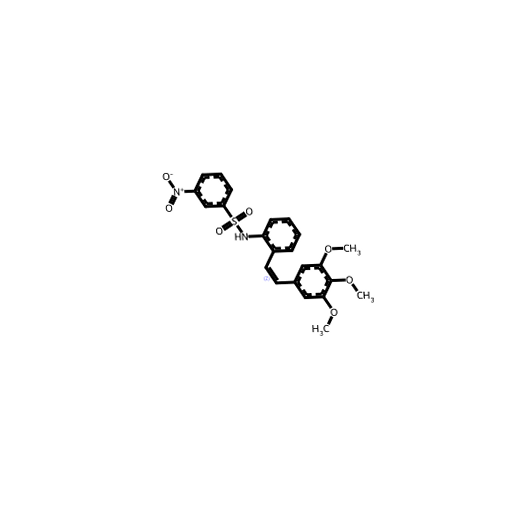 COc1cc(/C=C\c2ccccc2NS(=O)(=O)c2cccc([N+](=O)[O-])c2)cc(OC)c1OC